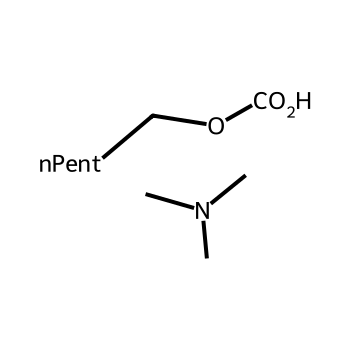 CCCCCCOC(=O)O.CN(C)C